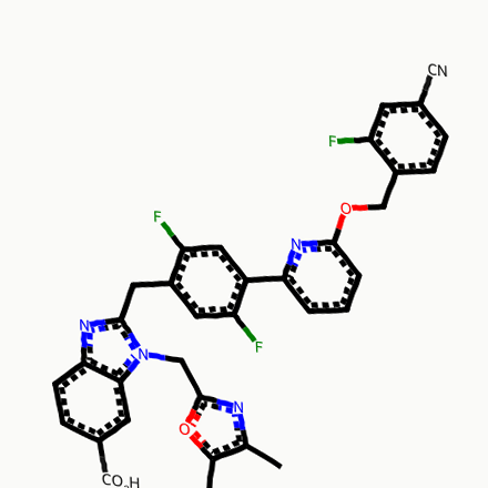 Cc1nc(Cn2c(Cc3cc(F)c(-c4cccc(OCc5ccc(C#N)cc5F)n4)cc3F)nc3ccc(C(=O)O)cc32)oc1C